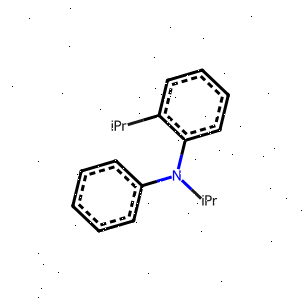 CC(C)c1ccccc1N(c1ccccc1)C(C)C